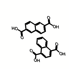 O=C(O)c1ccc(C(=O)O)c2ccccc12.O=C(O)c1ccc2cc(C(=O)O)ccc2c1